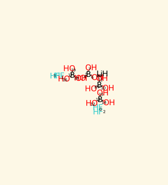 F.F.F.F.OB(O)O.OB(O)O.OB(O)O.OB(O)O.[LiH]